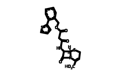 O=C(CC(=O)OCc1ccccc1-c1cccs1)NC1C(=O)N2C(C(=O)O)=CCS[C@H]12